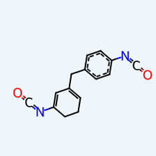 O=C=NC1=CC(Cc2ccc(N=C=O)cc2)=CCC1